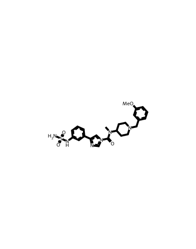 COc1cccc(CN2CCC(N(C)C(=O)n3cnc(-c4cccc(NS(N)(=O)=O)c4)c3)CC2)c1